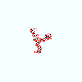 [O]=[V](=[O])[O][Mo](=[O])(=[O])[O][Mo](=[O])(=[O])[O][Mo](=[O])(=[O])[O][Mo](=[O])(=[O])[O]P(=O)([O][Mo](=[O])(=[O])[O][Mo](=[O])(=[O])[O][Mo](=[O])(=[O])[O][Mo](=[O])(=[O])[OH])[O][Mo](=[O])(=[O])[O][Mo](=[O])(=[O])[O][Mo](=[O])(=[O])[O][Mo](=[O])(=[O])[OH]